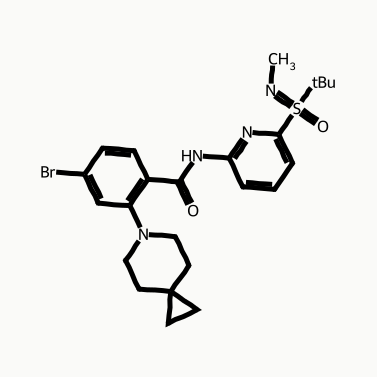 CN=S(=O)(c1cccc(NC(=O)c2ccc(Br)cc2N2CCC3(CC2)CC3)n1)C(C)(C)C